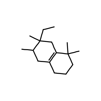 CCC1(C)CC2=C(CCCC2(C)C)CC1C